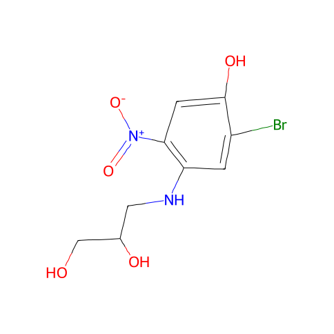 O=[N+]([O-])c1cc(O)c(Br)cc1NCC(O)CO